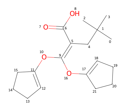 CC(C)(C)CC(C(=O)O)=C(OC1=CCCC1)OC1=CCCC1